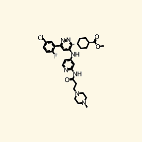 COC(=O)[C@H]1CC[C@H](c2nnc(-c3cc(Cl)ccc3F)cc2Nc2ccnc(NC(=O)CCN3CCN(C)CC3)c2)CC1